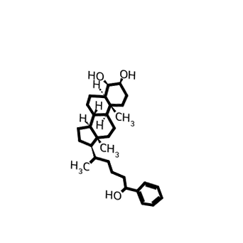 CC(CCCC(O)c1ccccc1)[C@H]1CC[C@H]2[C@@H]3CC[C@H]4[C@@H](O)[C@@H](O)CC[C@]4(C)[C@H]3CC[C@]12C